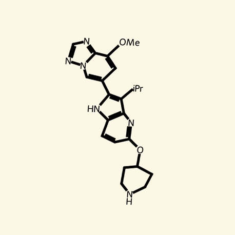 COc1cc(-c2[nH]c3ccc(OC4CCNCC4)nc3c2C(C)C)cn2ncnc12